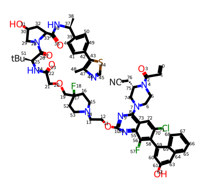 C=CC(=O)N1CCN(c2nc(OCCN3CCC(F)(COCC(=O)N[C@H](C(=O)N4CC(O)CC4C(=O)N[C@@H](C)c4ccc(-c5scnc5C)cc4)C(C)(C)C)CC3)nc3c(F)c(-c4cc(O)cc5ccccc45)c(Cl)cc23)C[C@@H]1CC#N